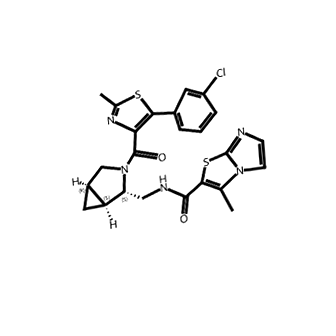 Cc1nc(C(=O)N2C[C@@H]3C[C@@H]3[C@H]2CNC(=O)c2sc3nccn3c2C)c(-c2cccc(Cl)c2)s1